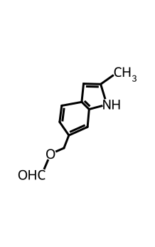 Cc1cc2ccc(COC=O)cc2[nH]1